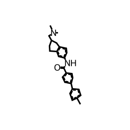 Cc1ccc(-c2ccc(C(=O)Nc3ccc4c(c3)CCC(CN(C)C)C4)cc2)cc1